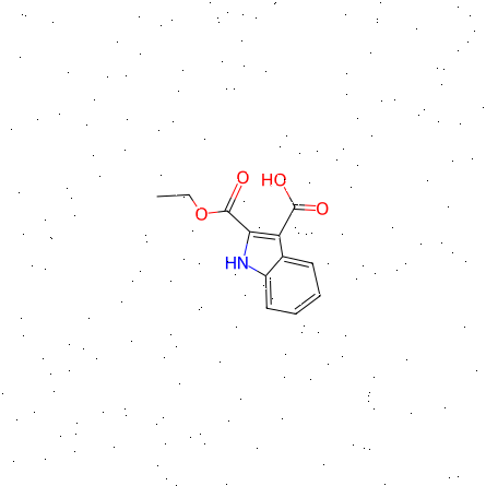 CCOC(=O)c1[nH]c2ccccc2c1C(=O)O